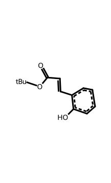 CC(C)(C)OC(=O)C=Cc1ccccc1O